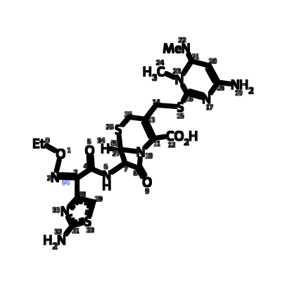 CCO/N=C(\C(=O)NC1C(=O)N2C(C(=O)O)=C(CSC3=NC(N)=CC(NC)N3C)CS[C@@H]12)c1csc(N)n1